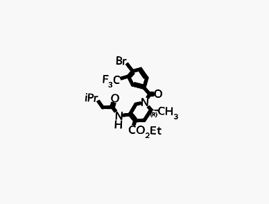 CCOC(=O)C1=C(NC(=O)CC(C)C)CN(C(=O)c2ccc(Br)c(C(F)(F)F)c2)[C@H](C)C1